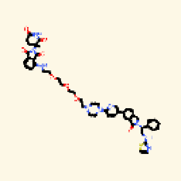 CC1(N2C(=O)c3cccc(NCCOCCOCCOCCN4CCN(c5ccc(-c6ccc7c(c6)C(=O)N(C(CNc6nccs6)c6ccccc6)C7)cn5)CC4)c3C2=O)CCC(=O)NC1=O